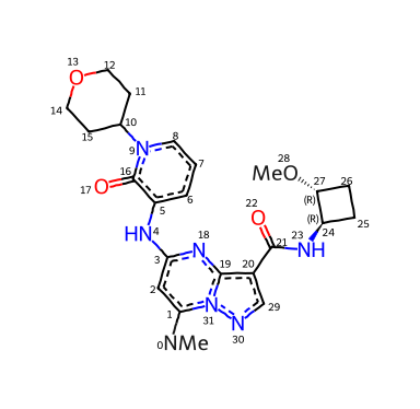 CNc1cc(Nc2cccn(C3CCOCC3)c2=O)nc2c(C(=O)N[C@@H]3CC[C@H]3OC)cnn12